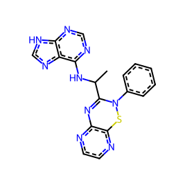 CC(Nc1ncnc2[nH]cnc12)C1=Nc2nccnc2SN1c1ccccc1